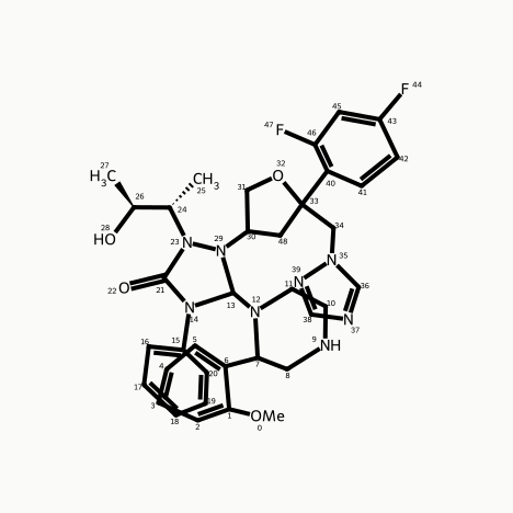 COc1ccccc1C1CNCCN1C1N(c2ccccc2)C(=O)N([C@@H](C)[C@H](C)O)N1C1COC(Cn2cncn2)(c2ccc(F)cc2F)C1